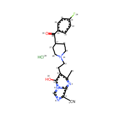 Cc1nc2c(C#N)ncn2c(O)c1CCN1CCC(C(=O)c2ccc(F)cc2)CC1.Cl